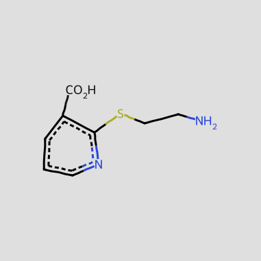 NCCSc1ncccc1C(=O)O